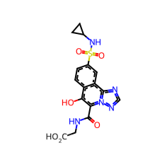 O=C(O)CNC(=O)c1c(O)c2ccc(S(=O)(=O)NC3CC3)cc2c2ncnn12